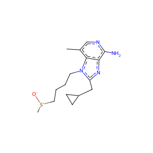 Cc1cnc(N)c2nc(CC3CC3)n(CCCC[S+](C)[O-])c12